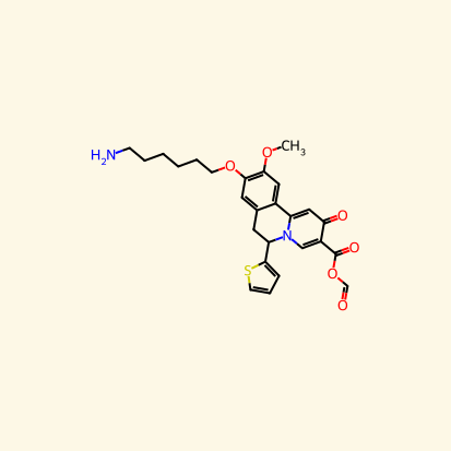 COc1cc2c(cc1OCCCCCCN)CC(c1cccs1)n1cc(C(=O)OC=O)c(=O)cc1-2